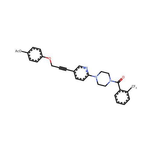 CC(=O)Oc1ccc(OCC#Cc2ccc(N3CCN(C(=O)c4ccccc4C(F)(F)F)CC3)nc2)cc1